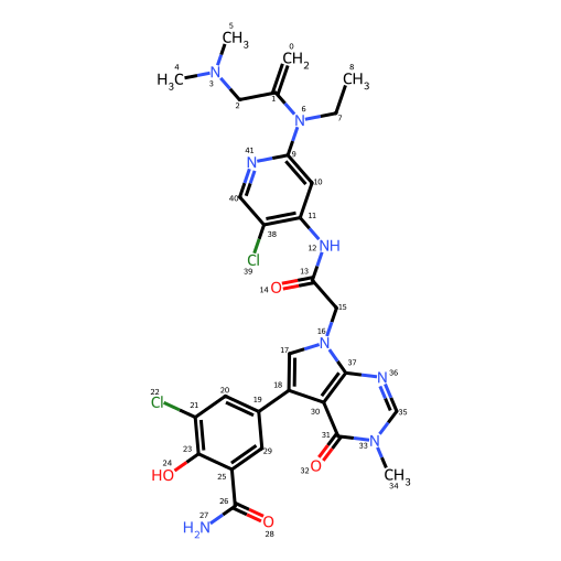 C=C(CN(C)C)N(CC)c1cc(NC(=O)Cn2cc(-c3cc(Cl)c(O)c(C(N)=O)c3)c3c(=O)n(C)cnc32)c(Cl)cn1